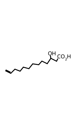 C=CCCCCCCCCC(O)CC(=O)O